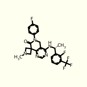 C[C@@H](Nc1ncnc2c1CN(c1ccc(F)cc1)C(=O)C21CN(C)C1)c1cccc(C(F)(F)F)c1F